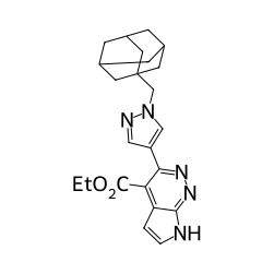 CCOC(=O)c1c(-c2cnn(CC34CC5CC(CC(C5)C3)C4)c2)nnc2[nH]ccc12